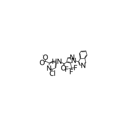 COC(=O)c1cc(NC(=O)c2cnn(-c3cncc4ccccc34)c2C(F)(F)F)cc(Cl)n1